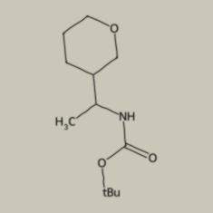 CC(NC(=O)OC(C)(C)C)C1CCCOC1